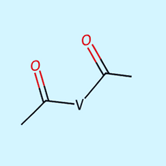 C[C](=O)[V][C](C)=O